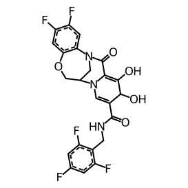 O=C(NCc1c(F)cc(F)cc1F)C1=CN2C(=C(O)C1O)C(=O)N1CC2COc2cc(F)c(F)cc21